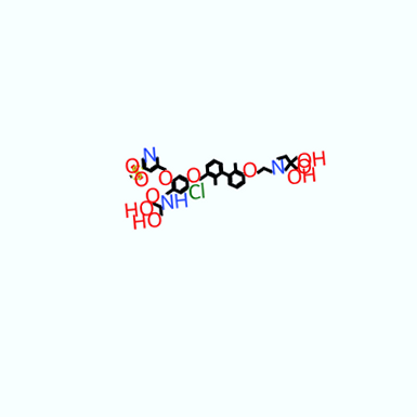 Cc1c(COc2cc(OCc3cncc(S(C)(=O)=O)c3)c(CNC(CO)C(=O)O)cc2Cl)cccc1-c1cccc(OCCCN2CCC(CO)(C(=O)O)C2)c1C